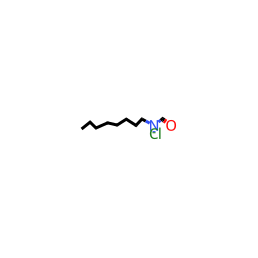 CCCCCCCCN(Cl)C=O